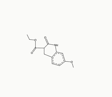 CCOC(=O)C1Cc2ccc(OC)cc2NC1=O